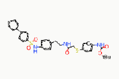 CC(C)(C)OC(=O)Nc1ccc(SCC(=O)NCCc2ccc(NS(=O)(=O)c3ccc(-c4ccccc4)cc3)cc2)cc1